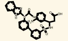 NC(=O)N(c1cccc(-c2cccc(S(=O)(=O)NC(CC(=O)O)c3cccc(N)c3)c2)c1)c1nc2ccccc2[nH]1